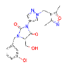 Cc1noc(C)c1Cn1cc(N2C(=O)C(CO)N(Cc3cccc(O)c3)C2=O)cn1